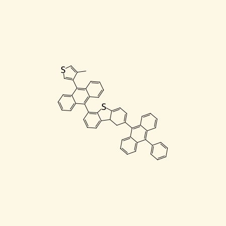 Cc1cscc1-c1c2ccccc2c(-c2cccc3c2SC2=CC=C(c4c5ccccc5c(-c5ccccc5)c5ccccc45)CC23)c2ccccc12